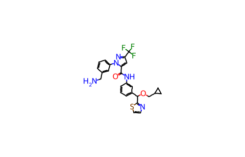 NCc1cccc(-n2nc(C(F)(F)F)cc2C(=O)Nc2cccc(C(OCC3CC3)c3nccs3)c2)c1